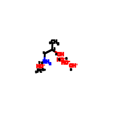 CC(O)CN.[OH-].[OH-].[OH-].[OH-].[Pt+4]